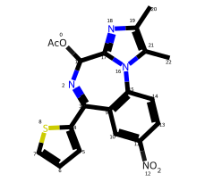 CC(=O)OC1N=C(c2cccs2)c2cc([N+](=O)[O-])ccc2-n2c1nc(C)c2C